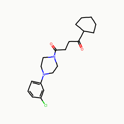 O=C(CCC(=O)N1CCN(c2cccc(Cl)c2)CC1)C1CCCCC1